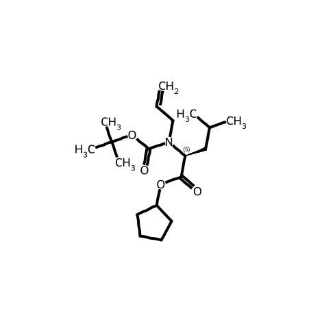 C=CCN(C(=O)OC(C)(C)C)[C@@H](CC(C)C)C(=O)OC1CCCC1